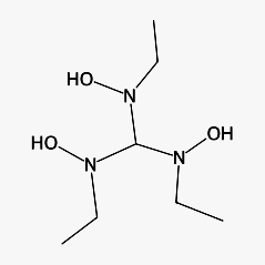 CCN(O)C(N(O)CC)N(O)CC